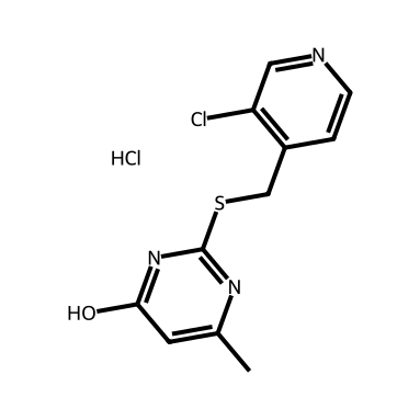 Cc1cc(O)nc(SCc2ccncc2Cl)n1.Cl